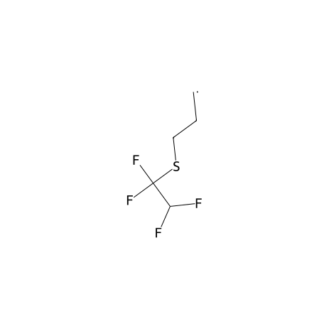 [CH2]CCSC(F)(F)C(F)F